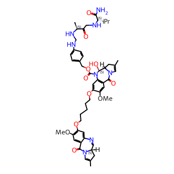 COc1cc2c(cc1OCCCCCOc1cc3c(cc1OC)C(=O)N1C=C(C)C[C@H]1[C@H](O)N3C(=O)OCc1ccc(NCN[C@@H](C)C(=O)CN[C@H](C(N)=O)C(C)C)cc1)N=C[C@@H]1CC(C)=CN1C2=O